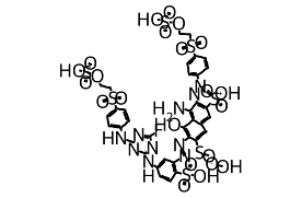 Nc1c(/N=N/c2ccc(S(=O)(=O)CCOS(=O)(=O)O)cc2)c(S(=O)(=O)O)cc2cc(SOOO)c(/N=N/c3cc(Nc4nc(F)nc(Nc5ccc(S(=O)(=O)CCOS(=O)(=O)O)cc5)n4)ccc3S(=O)(=O)O)c(O)c12